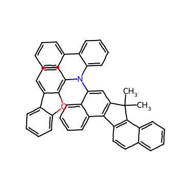 CC1(C)c2cc(N(c3ccccc3-c3ccccc3)c3cccc4c3oc3ccccc34)c3ccccc3c2-c2ccc3ccccc3c21